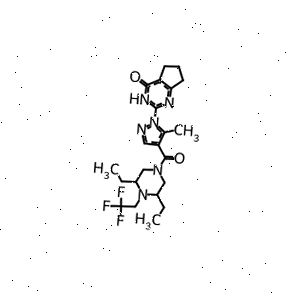 CCC1CN(C(=O)c2cnn(-c3nc4c(c(=O)[nH]3)CCC4)c2C)CC(CC)N1CC(F)(F)F